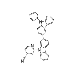 N#Cc1ccnc(-n2c3ccccc3c3ccc(-c4ccc5c(c4)c4ccccc4n5-c4ccccc4)cc32)c1